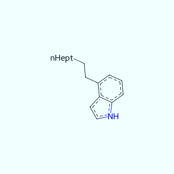 CCCCCCCCCc1cccc2[nH]ccc12